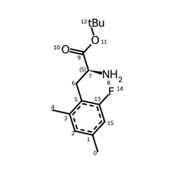 Cc1cc(C)c(C[C@H](N)C(=O)OC(C)(C)C)c(F)c1